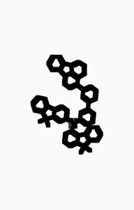 CC1(C)c2ccccc2-c2ccc(N(c3cccc(-c4cccc(-c5ccc6c7c(cccc57)-c5ccccc5-6)c4)c3)c3cccc4c3-c3ccccc3C4(C)C)cc21